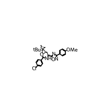 COc1ccc(-c2noc([C@H](CO[Si](C)(C)C(C)(C)C)NC(=O)c3ccc(Cl)cc3)n2)cc1